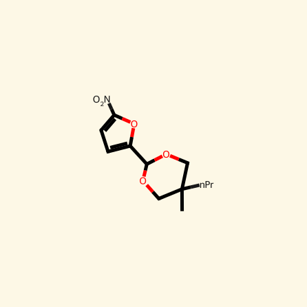 CCCC1(C)COC(c2ccc([N+](=O)[O-])o2)OC1